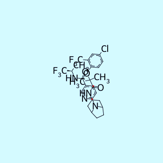 C[C@@H](NC(=O)c1ccc(N2C3CCC2CC(NC(=O)C(C)(C)Oc2ccc(Cl)cc2C(F)(F)F)C3)nc1)C(F)(F)F